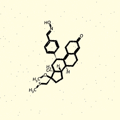 CO[C@@]1(CSC)CC[C@H]2[C@@H]3CCC4=CC(=O)CCC4=C3[C@@H](c3ccc(C=NO)cc3)C[C@@]21C